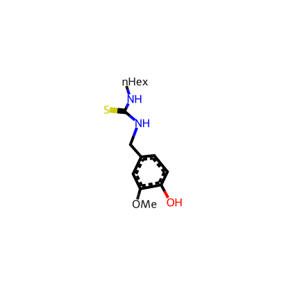 CCCCCCNC(=S)NCc1ccc(O)c(OC)c1